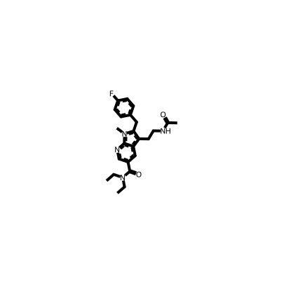 CCN(CC)C(=O)c1cnc2c(c1)c(CCNC(C)=O)c(Cc1ccc(F)cc1)n2C